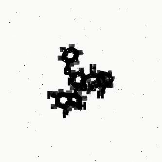 O=C(O)[C@H]1C2CCC(CC2)[C@@H]1Nc1cc(Oc2ccccc2)nc(-c2c[nH]c3c(F)cc(F)cc23)n1